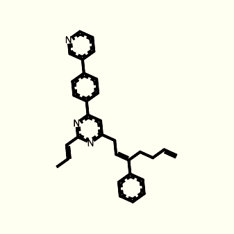 C=CCC/C(=C\Cc1cc(-c2ccc(-c3cccnc3)cc2)nc(/C=C/C)n1)c1ccccc1